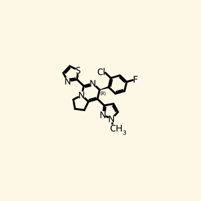 Cn1ccc(C2=C3CCCN3C(c3nccs3)=N[C@H]2c2ccc(F)cc2Cl)n1